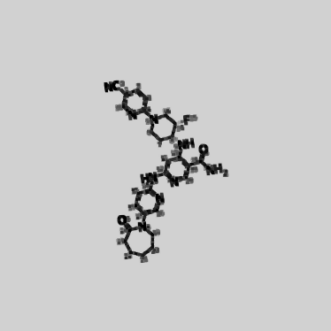 N#Cc1ccc(N2CC[C@@H](Nc3cc(Nc4ccc(N5CCCCCC5=O)cn4)ncc3C(N)=O)[C@@H](F)C2)nc1